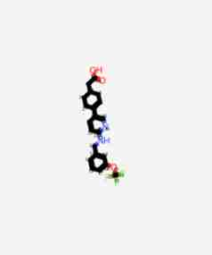 O=C(O)CC1CC=C(c2ccc(NCc3cccc(OC(F)(F)F)c3)nc2)CC1